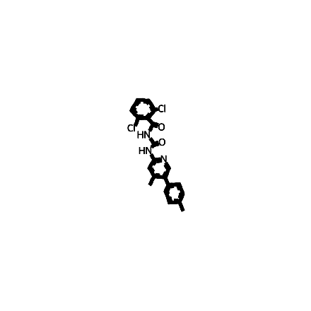 Cc1ccc(-c2cnc(NC(=O)NC(=O)c3c(Cl)cccc3Cl)cc2C)cc1